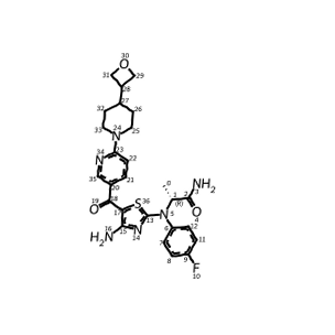 C[C@H](C(N)=O)N(c1ccc(F)cc1)c1nc(N)c(C(=O)c2ccc(N3CCC(C4COC4)CC3)nc2)s1